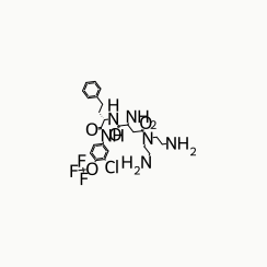 NCCN(CCN)C(=O)C[C@H](N)C(=O)N[C@@H](CCc1ccccc1)C(=O)Nc1ccc(OC(F)(F)F)c(Cl)c1